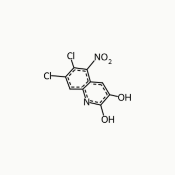 O=[N+]([O-])c1c(Cl)c(Cl)cc2nc(O)c(O)cc12